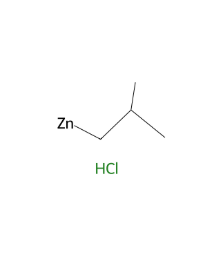 CC(C)[CH2][Zn].Cl